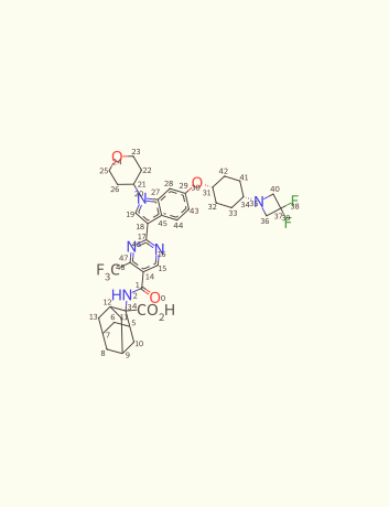 O=C(NC1(C(=O)O)C2CC3CC(C2)CC1C3)c1cnc(-c2cn(C3CCOCC3)c3cc(O[C@H]4CC[C@@H](N5CC(F)(F)C5)CC4)ccc23)nc1C(F)(F)F